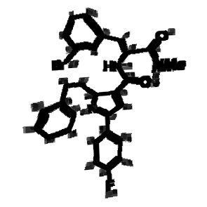 CNC(=O)[C@H](Cc1cccc(Br)c1)NC(=O)C1=CC(c2ccc(F)cc2)=NC1CCc1ccccc1